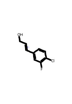 OC/C=C/c1ccc(Cl)c(F)c1